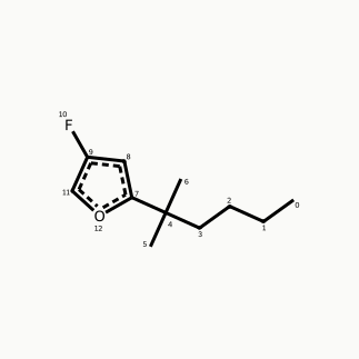 CCCCC(C)(C)c1cc(F)co1